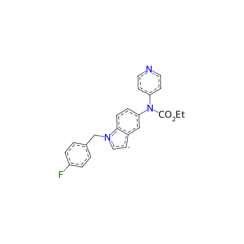 CCOC(=O)N(c1ccncc1)c1ccc2c([c]cn2Cc2ccc(F)cc2)c1